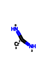 N=C=N.[Cr]